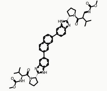 COC(=O)/N=C/C(C(=O)N1CCC[C@H]1c1nc2ccc(-c3ccc4ccc(-c5ccc6[nH]c([C@@H]7CCCN7C(=O)[C@@H](NC(=O)OC)C(C)C)nc6c5)cc4c3)cc2[nH]1)C(C)C